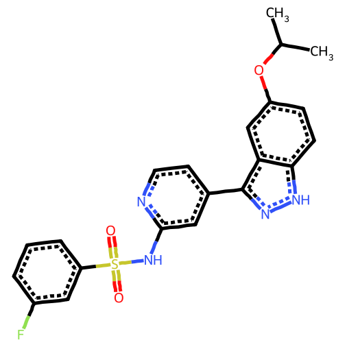 CC(C)Oc1ccc2[nH]nc(-c3ccnc(NS(=O)(=O)c4cccc(F)c4)c3)c2c1